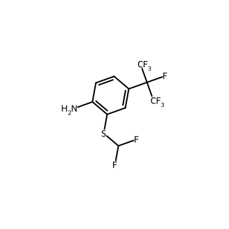 Nc1ccc(C(F)(C(F)(F)F)C(F)(F)F)cc1SC(F)F